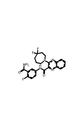 NC(=O)c1cc(NC(=O)c2nc3ccccc3nc2N2CCCC(F)(F)CC2)ccc1F